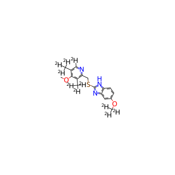 [2H]c1nc(CSc2nc3cc(OC([2H])([2H])[2H])ccc3[nH]2)c(C([2H])([2H])[2H])c(OC)c1C([2H])([2H])[2H]